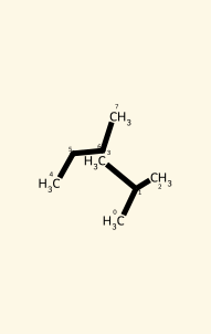 CC(C)C.CCCC